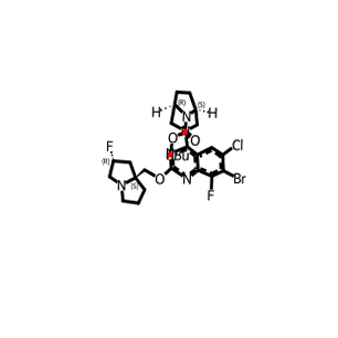 CCCCOC(=O)N1[C@@H]2CC[C@H]1CN(c1nc(OC[C@@]34CCCN3C[C@H](F)C4)nc3c(F)c(Br)c(Cl)cc13)C2